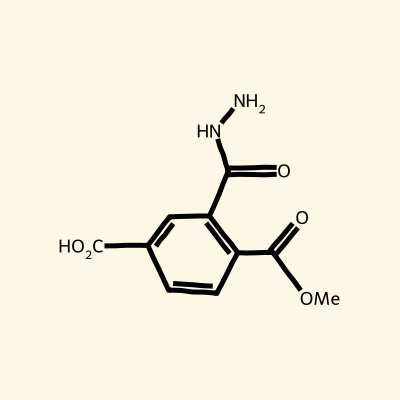 COC(=O)c1ccc(C(=O)O)cc1C(=O)NN